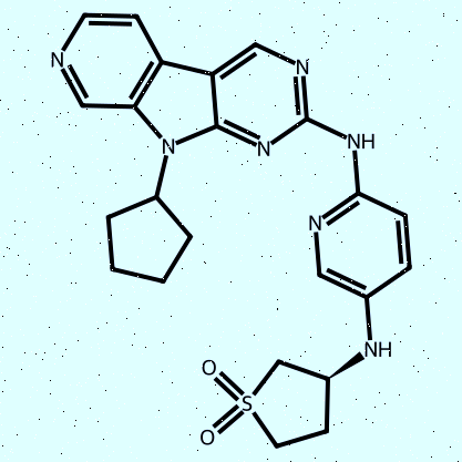 O=S1(=O)CC[C@H](Nc2ccc(Nc3ncc4c5ccncc5n(C5CCCC5)c4n3)nc2)C1